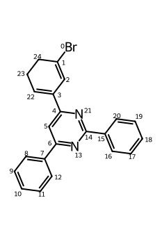 BrC1=CC(c2cc(-c3ccccc3)nc(-c3ccccc3)n2)=CCC1